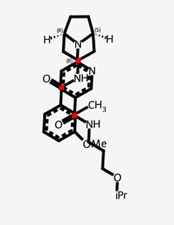 COc1cccc(C(=O)N[C@H]2C[C@H]3CC[C@@H](C2)N3c2ccc(C(=O)NCCCOC(C)C)cn2)c1C